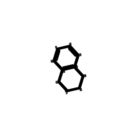 [c]1cccc2c1C[CH]CC2